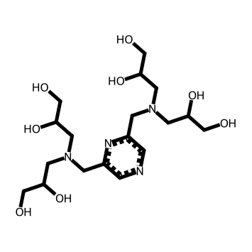 OCC(O)CN(Cc1cncc(CN(CC(O)CO)CC(O)CO)n1)CC(O)CO